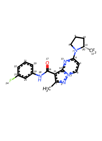 Cc1nn2ccc(N3CCC[C@@H]3C(F)(F)F)nc2c1C(=O)Nc1cccc(F)c1